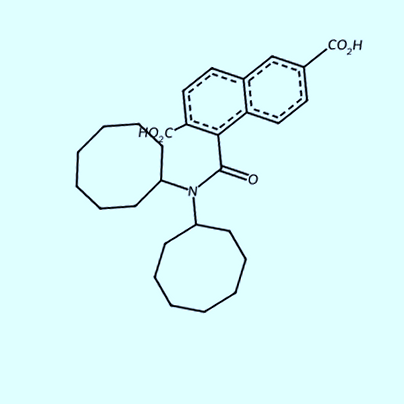 O=C(O)c1ccc2c(C(=O)N(C3CCCCCCC3)C3CCCCCCC3)c(C(=O)O)ccc2c1